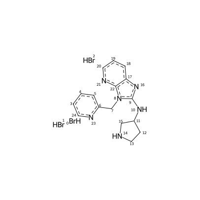 Br.Br.Br.c1ccc(Cn2c(NC3CCNC3)nc3cccnc32)nc1